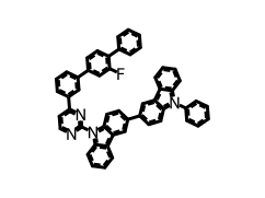 Fc1cc(-c2cccc(-c3ccnc(-n4c5ccccc5c5cc(-c6ccc7c(c6)c6ccccc6n7-c6ccccc6)ccc54)n3)c2)ccc1-c1ccccc1